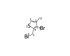 Cc1csc(CBr)c1Br